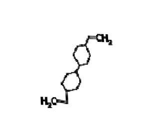 C=CC1CCC(C2CCC(C=C)CC2)CC1